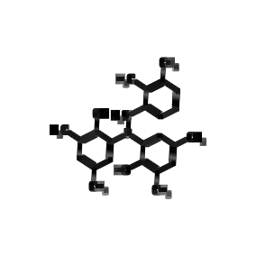 Cc1cc(C)c(O)c(P([SiH2]c2cccc(C)c2C)c2cc(C)cc(C)c2O)c1